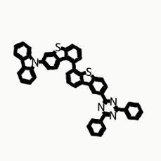 c1ccc(-c2nc(-c3ccccc3)nc(-c3ccc4sc5c(-c6cccc7sc8cc(-n9c%10ccccc%10c%10ccccc%109)ccc8c67)cccc5c4c3)n2)cc1